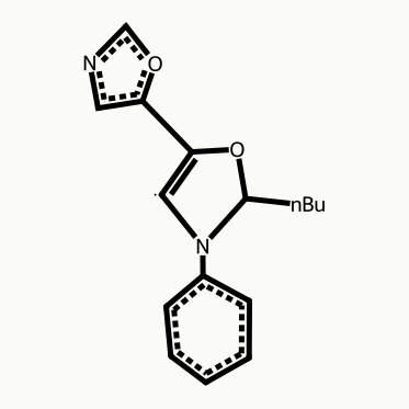 CCCCC1OC(c2cnco2)=[C]N1c1ccccc1